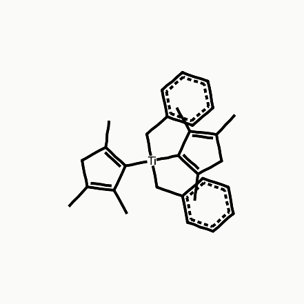 CC1=C(C)[C]([Ti]([CH2]c2ccccc2)([CH2]c2ccccc2)[C]2=C(C)CC(C)=C2C)=C(C)C1